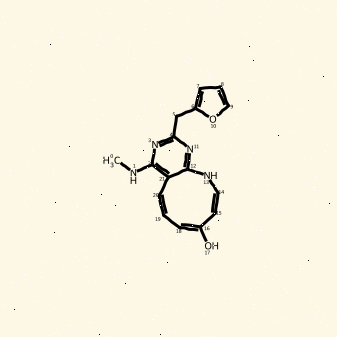 CNc1nc(Cc2ccco2)nc2[nH]ccc(O)cccc12